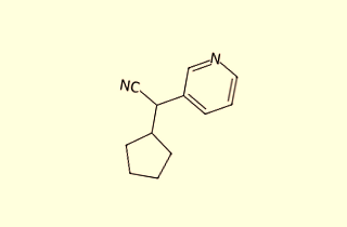 N#CC(c1cccnc1)C1CCCC1